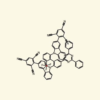 N#Cc1cc(C#N)c(-c2ccc3c(c2)c2ccccc2n3-c2ccc(-c3nc(-c4ccccc4)nc(-c4ccccc4)n3)cc2-c2c(-n3c4ccccc4c4cc(-c5c(C#N)cc(C#N)cc5C#N)ccc43)cccc2C(F)(F)F)c(C#N)c1